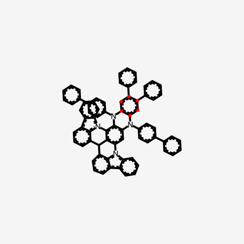 c1ccc(-c2ccc(N(c3ccc(-c4ccccc4)cc3)c3cc4c5c(c3N(c3ccc(-c6ccccc6)cc3)c3ccc(-c6ccccc6)cc3)-n3c6ccccc6c6cccc(c63)C5c3cccc5c6ccccc6n-4c35)cc2)cc1